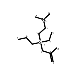 C=C(C)C[Si](CC)(CCC)CCN(C)C